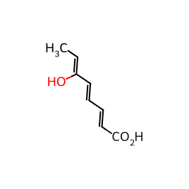 CC=C(O)C=CC=CC(=O)O